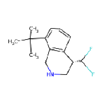 CC(C)(C)c1cccc2c1CNC[C@H]2C(F)F